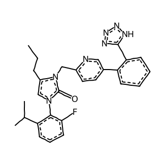 CCCc1cn(-c2c(F)cccc2C(C)C)c(=O)n1Cc1ccc(-c2ccccc2-c2nnn[nH]2)cn1